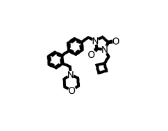 O=C1CN(Cc2ccc(-c3ccccc3CN3CCOCC3)cc2)C(=O)N1CC1CCC1